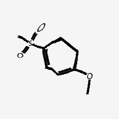 COC1=CC=C(S(C)(=O)=O)CC1